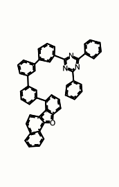 c1ccc(-c2nc(-c3ccccc3)nc(-c3cccc(-c4cccc(-c5cccc(-c6cccc7oc8c9ccccc9ccc8c67)c5)c4)c3)n2)cc1